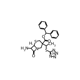 CC(Sc1nnn[nH]1)C1(C(=O)OC(c2ccccc2)c2ccccc2)CS[C@@H]2C(N)C(=O)N2C1